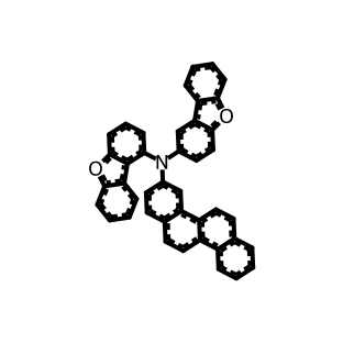 c1ccc2c(c1)ccc1c3cc(N(c4ccc5oc6ccccc6c5c4)c4cccc5oc6ccccc6c45)ccc3ccc21